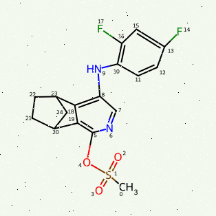 CS(=O)(=O)Oc1ncc(Nc2ccc(F)cc2F)c2c1C1CCC2C1